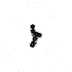 c1ccc(-c2ccc3oc4c(-c5ccc(-c6cn7ccccc7n6)cc5)c5ccccc5cc4c3c2)cc1